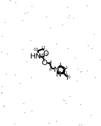 Ic1ccn(CCOC2NCCO2)n1